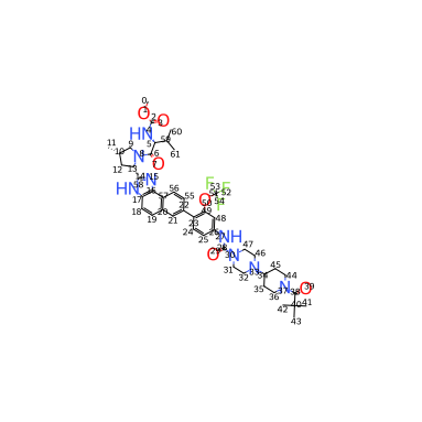 COC(=O)N[C@H](C(=O)N1C[C@@H](C)C[C@H]1c1nc2c(ccc3cc(-c4ccc(NC(=O)N5CCN(C6CCN(C(=O)C(C)(C)C)CC6)CC5)cc4OC(F)(F)F)ccc32)[nH]1)C(C)C